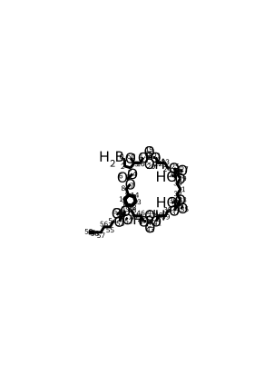 BC1CC(OC(=O)OCc2ccccc2)C(COP(=O)(O)OCCCOP(=O)(O)OCCCOP(=O)(O)OCCCOP(=O)(O)OCCCOP(=O)(O)OCCCCC#C)O1